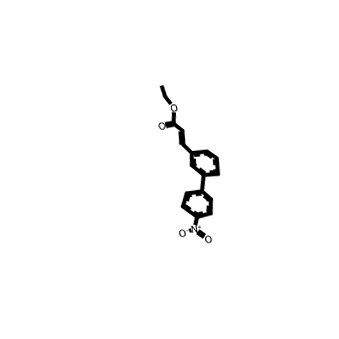 CCOC(=O)C=Cc1cccc(-c2ccc([N+](=O)[O-])cc2)c1